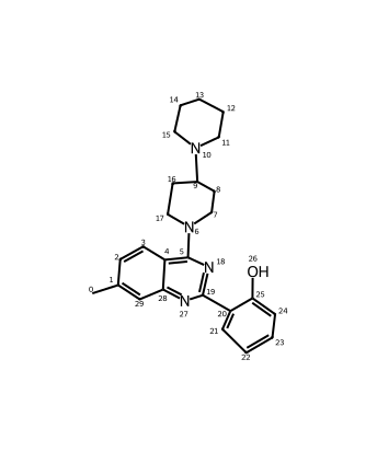 Cc1ccc2c(N3CCC(N4CCCCC4)CC3)nc(-c3ccccc3O)nc2c1